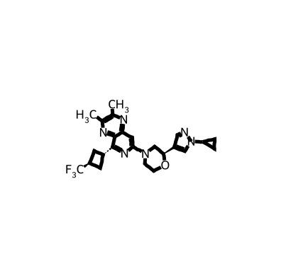 Cc1nc2cc(N3CCO[C@H](c4cnn(C5CC5)c4)C3)nc([C@H]3C[C@H](C(F)(F)F)C3)c2nc1C